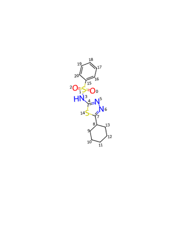 O=S(=O)(Nc1nnc(C2CCCCC2)s1)c1ccccc1